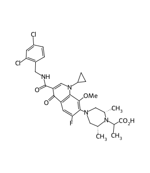 COc1c(N2C[C@@H](C)N(C(C)C(=O)O)[C@@H](C)C2)c(F)cc2c(=O)c(C(=O)NCc3ccc(Cl)cc3Cl)cn(C3CC3)c12